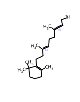 [2H]C/C=C(\C)CC/C=C(\C)CCC1=C(C)CCCC1(C)C